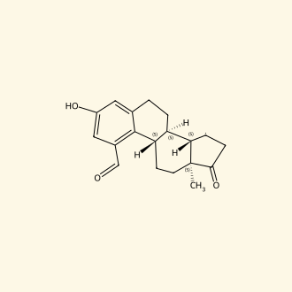 C[C@]12CC[C@@H]3c4c(C=O)cc(O)cc4CC[C@H]3[C@@H]1[CH]CC2=O